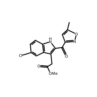 COC(=O)Cc1c(C(=O)c2cc(C)on2)[nH]c2ccc(Cl)cc12